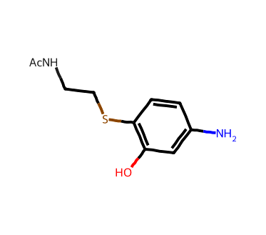 CC(=O)NCCSc1ccc(N)cc1O